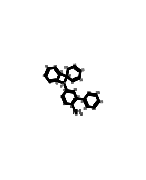 Nc1ccc(N2c3ccccc3C23C=CC=CC3)cc1-c1ccccc1